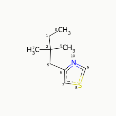 CCC(C)(C)Cc1cscn1